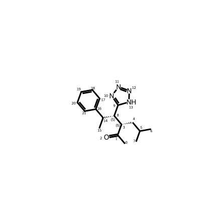 CC(=O)[C@@H](CC(C)C)[C@@H](c1nnn[nH]1)C(C)c1ccccc1